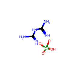 N=C(N)NC(=N)N.[O-][Cl+3]([O-])([O-])O